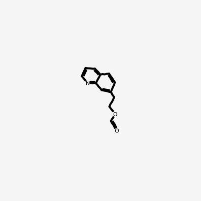 O=COCCc1ccc2cccnc2c1